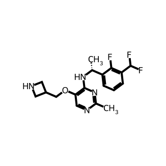 Cc1ncc(OCC2CNC2)c(N[C@H](C)c2cccc(C(F)F)c2F)n1